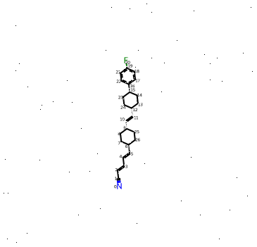 N#CC=CC=C[C@H]1CC[C@H](C=C[C@H]2CC[C@H](c3ccc(F)cc3)CC2)CC1